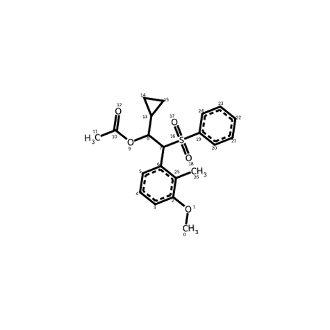 COc1cccc(C(C(OC(C)=O)C2CC2)S(=O)(=O)c2ccccc2)c1C